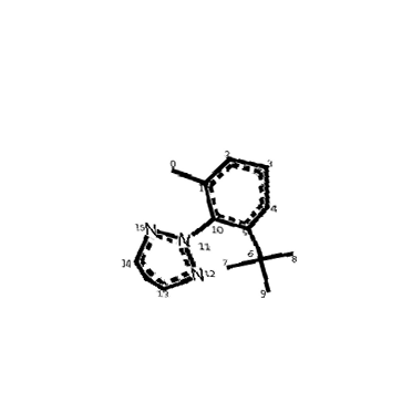 Cc1cccc(C(C)(C)C)c1-n1nccn1